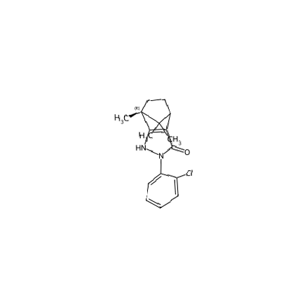 CC1(C)C2CC[C@@]1(C)c1[nH]n(-c3ccccc3Cl)c(=O)c12